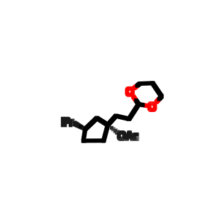 CC(=O)O[C@]1(CCC2OCCCO2)CC[C@@H](C(C)C)C1